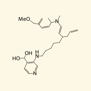 C=CCC(/C=C/N(C)C(C)/C=C\C(=C)COC)CCCCCNc1cnccc1C(O)O